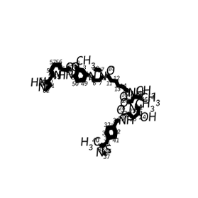 COc1cc(N2CCN(C(=O)CCCCC(=O)N[C@H](C(=O)N3C[C@H](O)C[C@H]3C(=O)NCc3ccc(-c4scnc4C)cc3)C(C)(C)C)CC2)ccc1NC(=O)c1cccc(-c2ccn[nH]2)n1